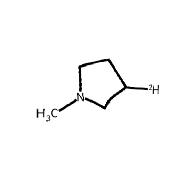 [2H]C1CCN(C)C1